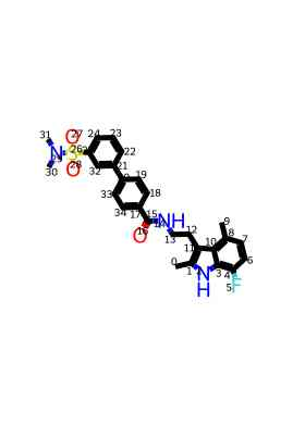 Cc1[nH]c2c(F)ccc(C)c2c1CCNC(=O)c1ccc(-c2cccc(S(=O)(=O)N(C)C)c2)cc1